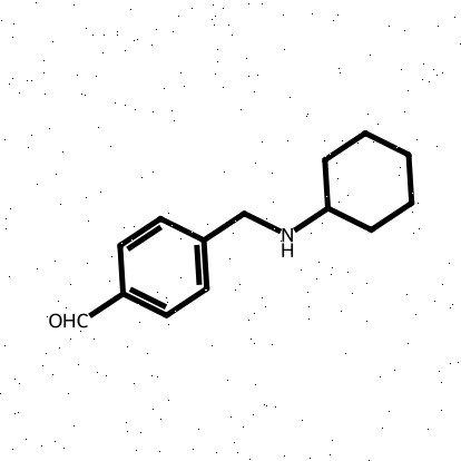 O=Cc1ccc(CNC2CCCCC2)cc1